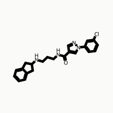 O=C(NCCCNC1Cc2ccccc2C1)c1cnn(-c2cccc(Cl)c2)c1